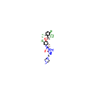 C[C@H](Oc1cc2sc(NC(=O)NCCN3CCN(C)CC3)nc2cc1F)c1c(Cl)ccc(F)c1Cl